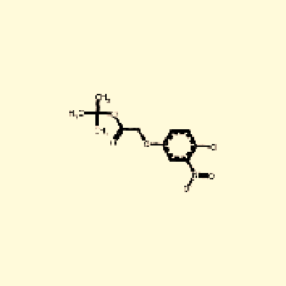 CC(C)(C)OC(=O)COc1ccc(Cl)c([N+](=O)[O-])c1